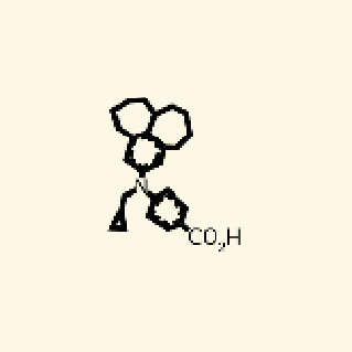 O=C(O)c1ccc(N(CC2CC2)c2cc3c4c(c2)CCCCC4CCCC3)cc1